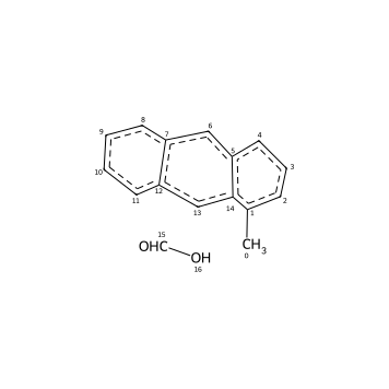 Cc1cccc2cc3ccccc3cc12.O=CO